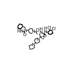 O=C(Nc1cccc(Cl)c1Cl)N[C@@H](CC(=O)N1CCC(N2Cc3ccccc3NC2=O)CC1)C(=O)N1CCC(N2CCCCC2)CC1